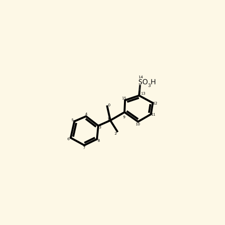 CC(C)(c1ccccc1)c1cccc(S(=O)(=O)O)c1